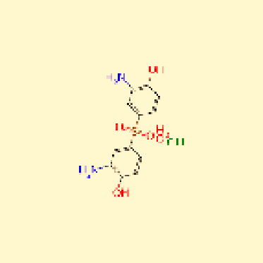 Cl.Nc1cc(S(=O)(=O)c2ccc(O)c(N)c2)ccc1O.O